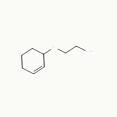 CCC[Te]C1C=CCCC1